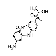 CC(O)S(=O)(=O)c1ccc(Nc2cccc(N)c2)c([N+](=O)[O-])c1